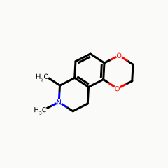 CC1c2ccc3c(c2CCN1C)OCCO3